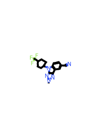 Cn1nc2c3cc(C#N)ccc3n(C3CCC(C(F)(F)F)CC3)c2n1